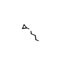 O=S(=O)(O)CCCOC1CC1